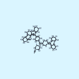 Fc1ccc(N(c2ccc(-n3c4ccccc4c4ccccc43)cc2)c2ccc(-n3c4ccccc4c4ccc5c6ccccc6oc5c43)cc2)cc1